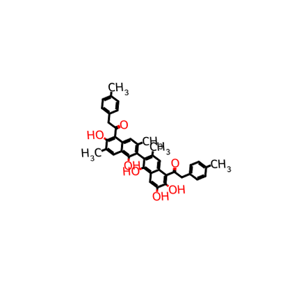 Cc1ccc(CC(=O)c2c(O)c(C)cc3c(O)c(-c4c(C)cc5c(C(=O)Cc6ccc(C)cc6)c(O)c(O)cc5c4O)c(C)cc23)cc1